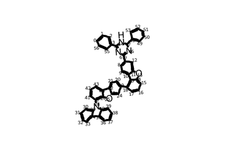 c1ccc(C2=NC(c3ccc4c(c3)oc3cccc(-c5ccc6c(c5)oc5c(-n7c8ccccc8c8ccccc87)cccc56)c34)=NC(c3ccccc3)N2)cc1